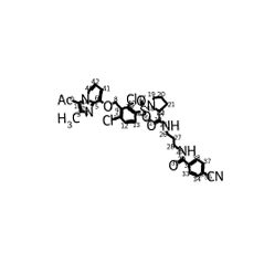 CC(=O)c1c(C)nc2c(OCc3c(Cl)ccc(S(=O)(=O)N4CCC[C@H]4C(=O)NCCCNC(=O)c4ccc(C#N)cc4)c3Cl)cccn12